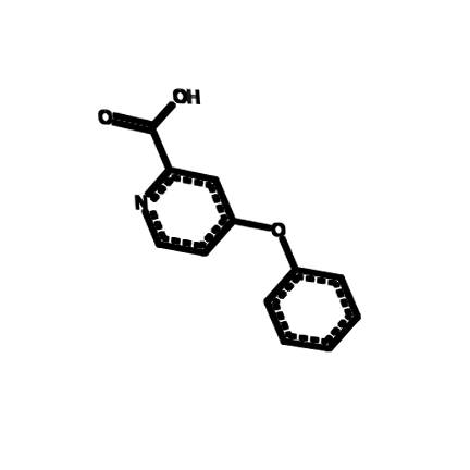 O=C(O)c1cc(Oc2ccccc2)ccn1